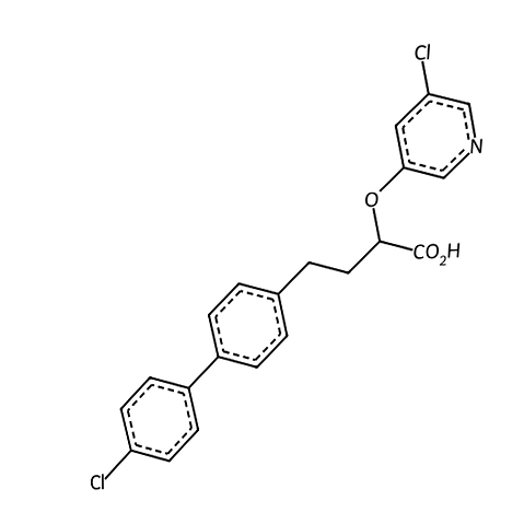 O=C(O)C(CCc1ccc(-c2ccc(Cl)cc2)cc1)Oc1cncc(Cl)c1